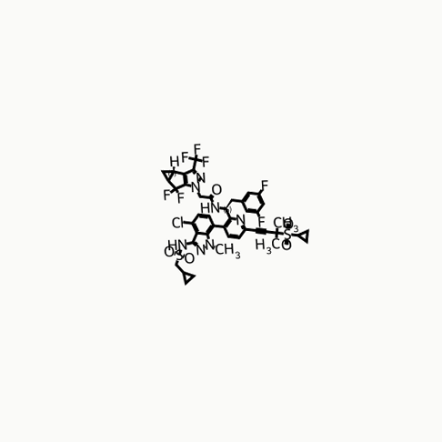 Cn1nc(NS(=O)(=O)CC2CC2)c2c(Cl)ccc(-c3ccc(C#CC(C)(C)S(=O)(=O)C4CC4)nc3[C@H](Cc3cc(F)cc(F)c3)NC(=O)Cn3nc(C(F)(F)F)c4c3C(F)(F)C3C[C@H]43)c21